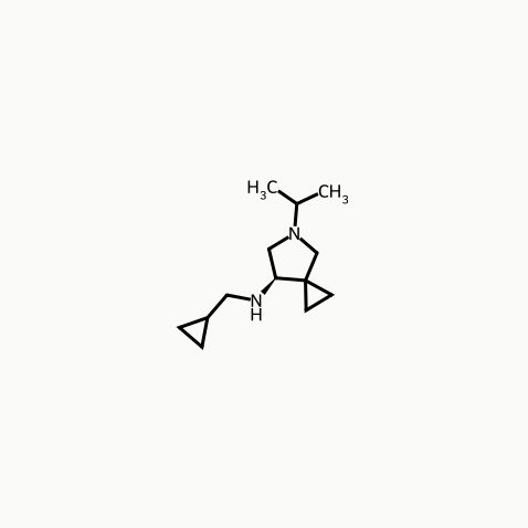 CC(C)N1C[C@H](NCC2CC2)C2(CC2)C1